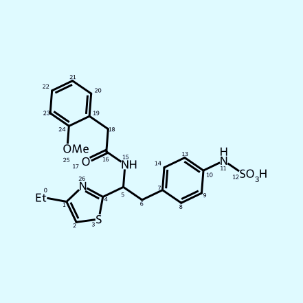 CCc1csc(C(Cc2ccc(NS(=O)(=O)O)cc2)NC(=O)Cc2ccccc2OC)n1